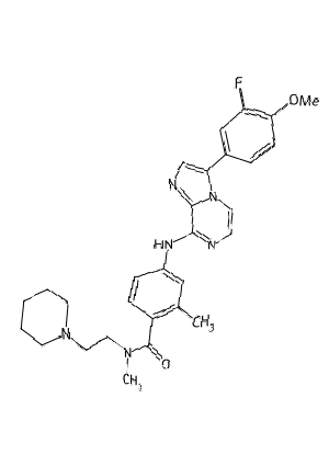 COc1ccc(-c2cnc3c(Nc4ccc(C(=O)N(C)CCN5CCCCC5)c(C)c4)nccn23)cc1F